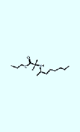 CCCCCCC(C)NC(C)(C)C(=O)OCCC